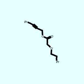 CC(C)C#CCOC(=O)COCCC(C)C